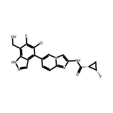 O=C(Nc1cn2cc(-c3c(Cl)c(F)c(CO)c4[nH]ncc34)ccc2n1)[C@@H]1C[C@@H]1F